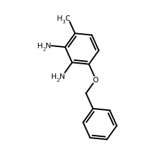 Cc1ccc(OCc2ccccc2)c(N)c1N